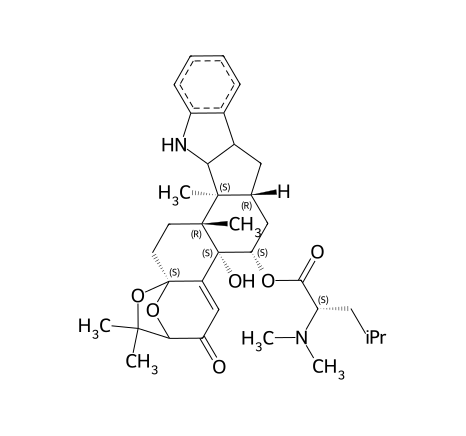 CC(C)C[C@@H](C(=O)O[C@H]1C[C@H]2CC3c4ccccc4NC3[C@]2(C)[C@@]2(C)CC[C@@]34OC(C(=O)C=C3[C@]12O)C(C)(C)O4)N(C)C